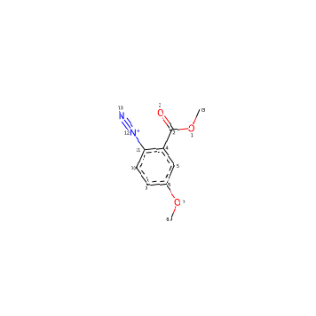 COC(=O)c1cc(OC)ccc1[N+]#N